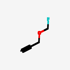 [C]#CCOCF